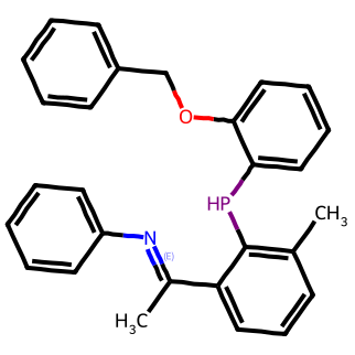 C/C(=N\c1ccccc1)c1cccc(C)c1Pc1ccccc1OCc1ccccc1